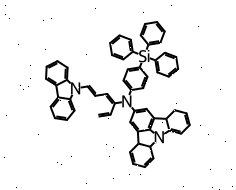 C=C/C(=C\C=C\n1c2ccccc2c2ccccc21)N(c1ccc([Si](c2ccccc2)(c2ccccc2)c2ccccc2)cc1)c1cc2c3c(c1)C1C=CC=CC1N3C1=CC=CCC12